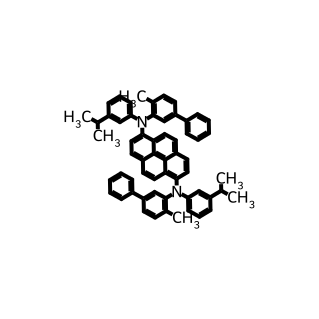 Cc1ccc(-c2ccccc2)cc1N(c1cccc(C(C)C)c1)c1ccc2ccc3c(N(c4cccc(C(C)C)c4)c4cc(-c5ccccc5)ccc4C)ccc4ccc1c2c43